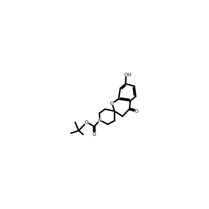 CC(C)(C)OC(=O)N1CCC2(CC1)CC(=O)c1ccc(O)cc1O2